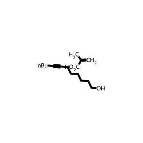 C=C(C)C(=O)O.CCCCC#CCCCCCCO